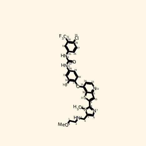 COCCNCc1cnc(-c2cc3nccc(Oc4ccc(NC(=O)Nc5ccc(Cl)c(C(F)(F)F)c5)cc4F)c3s2)n1C